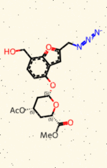 COC(=O)[C@@H]1C[C@H](OC(C)=O)C[C@H](Oc2ccc(CO)c3oc(CN=[N+]=[N-])cc23)O1